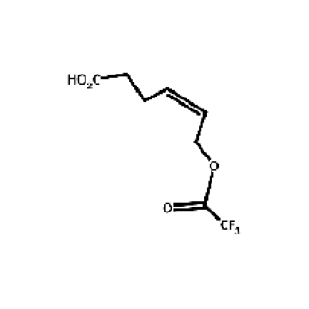 O=C(O)CC/C=C\COC(=O)C(F)(F)F